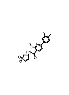 COc1nc(-c2ccc(C)c(C)c2)ncc1C(=O)NC1C=CS(=O)(=O)C1